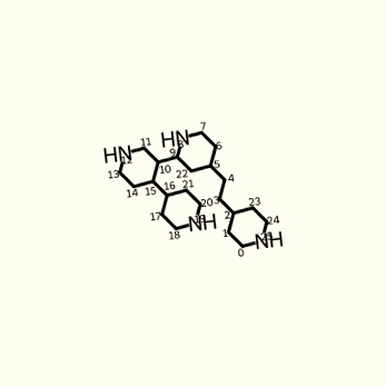 C1CC(CCC2CCNC(C3CNCCC3C3CCNCC3)C2)CCN1